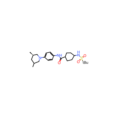 CC1C[C@@H](C)CN(c2ccc(NC(=O)C3CCC(NS(=O)(=O)C(C)(C)C)CC3)cc2)C1